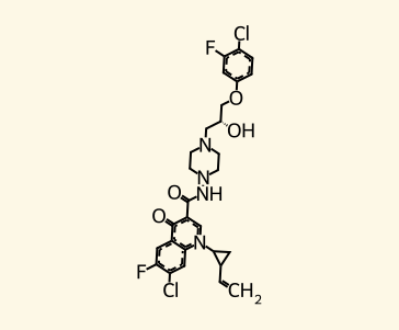 C=CC1CC1n1cc(C(=O)NN2CCN(C[C@@H](O)COc3ccc(Cl)c(F)c3)CC2)c(=O)c2cc(F)c(Cl)cc21